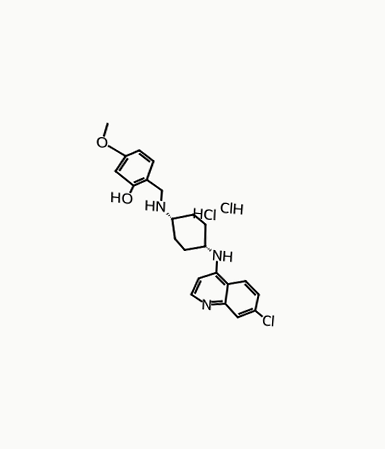 COc1ccc(CN[C@H]2CC[C@@H](Nc3ccnc4cc(Cl)ccc34)CC2)c(O)c1.Cl.Cl